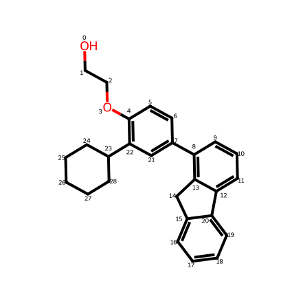 OCCOc1ccc(-c2cccc3c2Cc2ccccc2-3)cc1C1CCCCC1